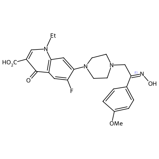 CCn1cc(C(=O)O)c(=O)c2cc(F)c(N3CCN(C/C(=N/O)c4ccc(OC)cc4)CC3)cc21